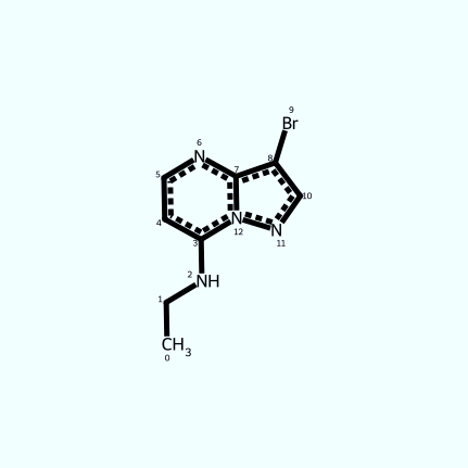 CCNc1ccnc2c(Br)cnn12